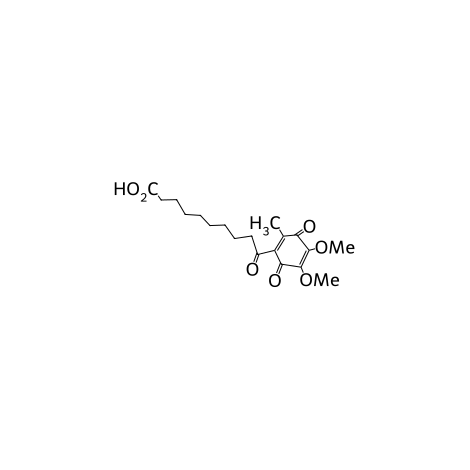 COC1=C(OC)C(=O)C(C(=O)CCCCCCCCC(=O)O)=C(C)C1=O